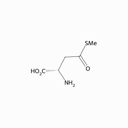 CSC(=O)C[C@H](N)C(=O)O